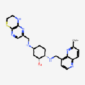 COc1ccc2nccc(CN[C@H]3CC[C@H](NCc4cnc5c(n4)NCCS5)C[C@H]3O)c2n1